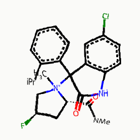 CNC(=O)[C@@H]1C[C@@H](F)C[N+]1(C)C1(c2ccccc2C(C)C)C(=O)Nc2ccc(Cl)cc21